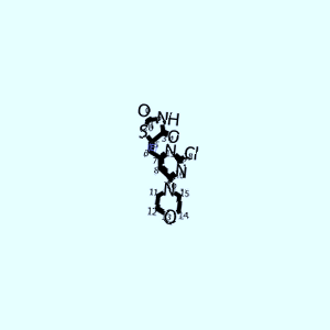 O=C1NC(=O)/C(=C\c2cc(N3CCOCC3)nc(Cl)n2)S1